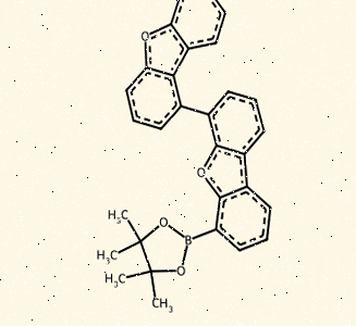 CC1(C)OB(c2cccc3c2oc2c(-c4cccc5oc6ccccc6c45)cccc23)OC1(C)C